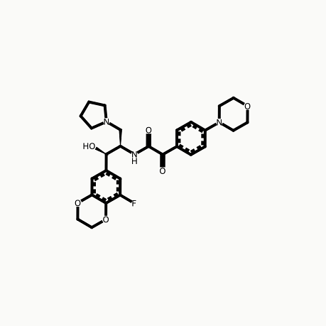 O=C(N[C@H](CN1CCCC1)[C@H](O)c1cc(F)c2c(c1)OCCO2)C(=O)c1ccc(N2CCOCC2)cc1